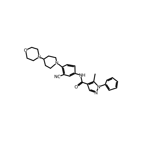 Cc1c(C(=O)Nc2ccc(N3CCC(N4CCOCC4)CC3)c(C#N)c2)cnn1-c1ccccc1